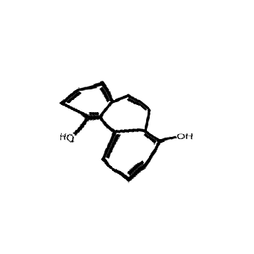 Oc1cccc2c1ccc1cccc(O)c12